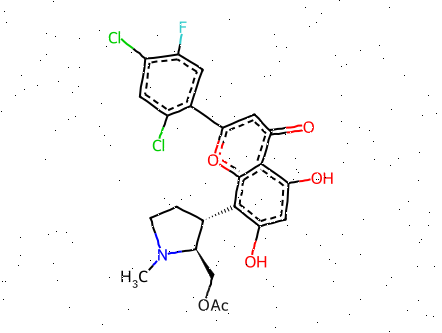 CC(=O)OC[C@@H]1[C@@H](c2c(O)cc(O)c3c(=O)cc(-c4cc(F)c(Cl)cc4Cl)oc23)CCN1C